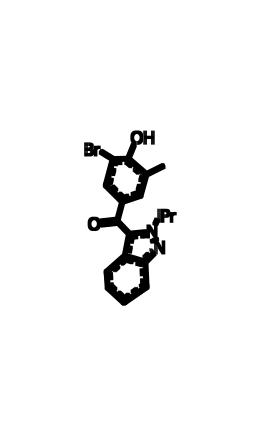 Cc1cc(C(=O)c2c3ccccc3nn2C(C)C)cc(Br)c1O